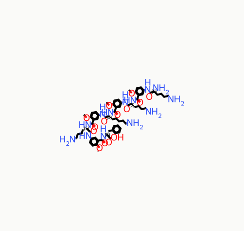 COc1ccc(NC(=O)[C@H](CCCCCN)NC(=O)c2cc(NC(=O)[C@H](CCCCN)NC(=O)c3cc(NC(=O)[C@@H](N)CCCCN)ccc3OC)ccc2OC)cc1C(=O)N[C@@H](CCCCN)C(=O)Nc1ccc(OC)c(C(=O)N[C@H](Cc2ccccc2)C(=O)O)c1